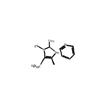 CCCCCC1=C(C)NC(C=O)N1CC.c1ccncc1